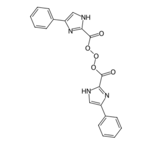 O=C(OOOC(=O)c1nc(-c2ccccc2)c[nH]1)c1nc(-c2ccccc2)c[nH]1